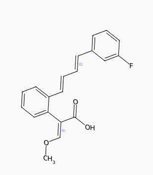 CO/C=C(/C(=O)O)c1ccccc1C=C/C=C/c1cccc(F)c1